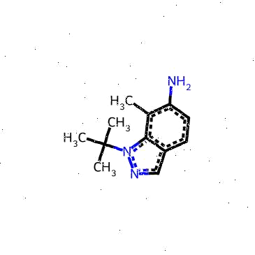 Cc1c(N)ccc2cnn(C(C)(C)C)c12